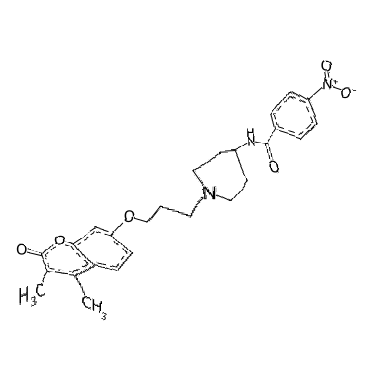 Cc1c(C)c2ccc(OCCCN3CCC(NC(=O)c4ccc([N+](=O)[O-])cc4)CC3)cc2oc1=O